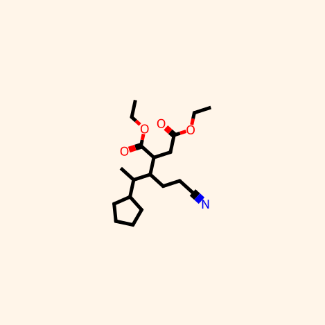 CCOC(=O)CC(C(=O)OCC)C(CCC#N)C(C)C1CCCC1